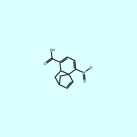 O=C(O)C1=CC=C([N+](=O)[O-])C23C=CC(CC12)C3